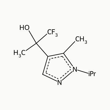 Cc1c(C(C)(O)C(F)(F)F)cnn1C(C)C